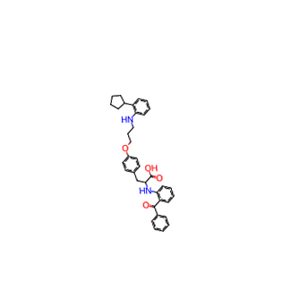 O=C(c1ccccc1)c1ccccc1NC(Cc1ccc(OCCCNc2ccccc2C2CCCC2)cc1)C(=O)O